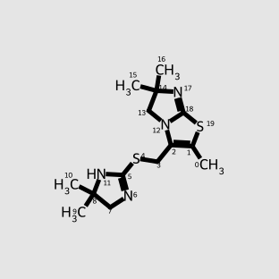 CC1=C(CSC2=NCC(C)(C)N2)N2CC(C)(C)N=C2S1